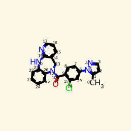 Cc1ccnn1-c1ccc(C(=O)N2Cc3cccnc3Nc3ccccc32)c(Cl)c1